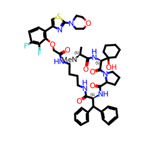 CN[C@@H](C)C(=O)N[C@H](C(=O)N1CCCC1C(=O)N[C@H](C(=O)NCCCCNC(=O)COc1c(-c2csc(N3CCOCC3)n2)ccc(F)c1F)C(c1ccccc1)c1ccccc1)C1(O)CCCCC1